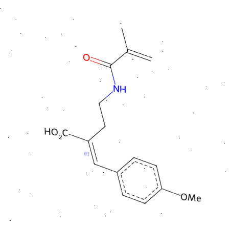 C=C(C)C(=O)NCC/C(=C\c1ccc(OC)cc1)C(=O)O